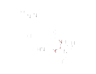 CCn1cc2c(Cl)c(-c3c[nH]c4nc(N5[C@@H]6CC[C@H]5C[C@@](C)(N)C6)n(C)c(=O)c34)ccc2n1